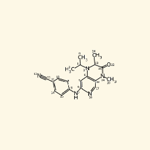 CC(C)N1c2cc(Nc3ccc(C#N)cc3)ncc2N(C)C(=O)C1C